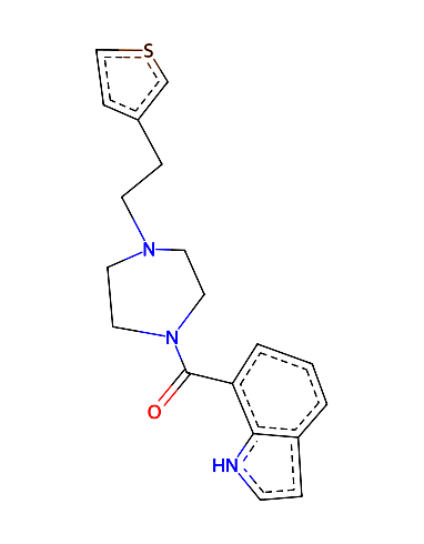 O=C(c1cccc2cc[nH]c12)N1CCN(CCc2ccsc2)CC1